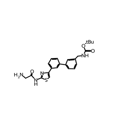 CC(C)(C)OC(=O)NCc1cccc(-c2cccc(-c3csc(NC(=O)CN)n3)c2)c1